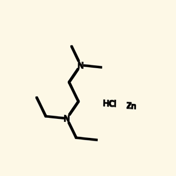 CCN(CC)CCN(C)C.Cl.[Zn]